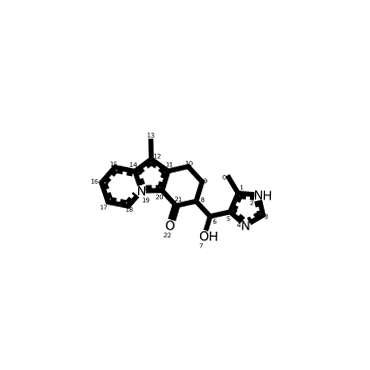 Cc1[nH]cnc1C(O)C1CCc2c(C)c3ccccn3c2C1=O